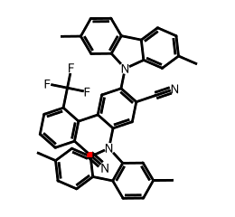 Cc1ccc2c3ccc(C)cc3n(-c3cc(-c4c(C#N)cccc4C(F)(F)F)c(-n4c5cc(C)ccc5c5ccc(C)cc54)cc3C#N)c2c1